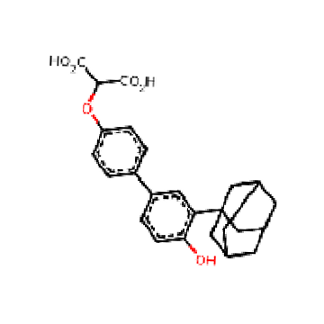 O=C(O)C(Oc1ccc(-c2ccc(O)c(C34CC5CC(CC(C5)C3)C4)c2)cc1)C(=O)O